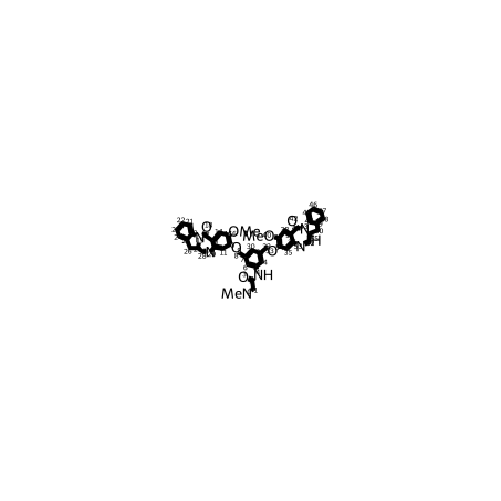 CNCC(=O)Nc1cc(COc2cc3c(cc2OC)C(=O)N2c4ccccc4CC2C=N3)cc(COc2cc3c(cc2OC)C(=O)N2c4ccccc4C[C@H]2C=N3)c1